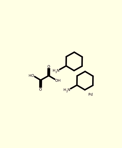 NC1CCCCC1.NC1CCCCC1.O=C(O)C(=O)O.[Pd]